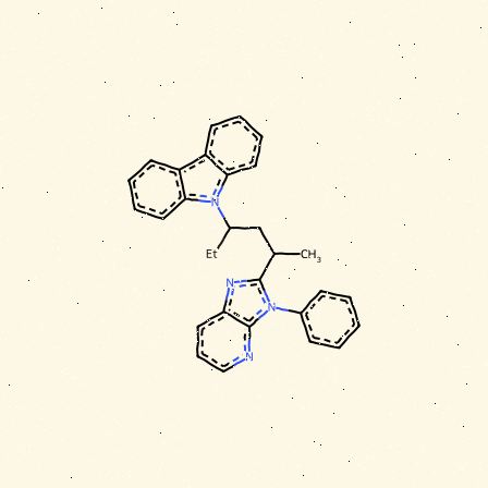 CCC(CC(C)c1nc2cccnc2n1-c1ccccc1)n1c2ccccc2c2ccccc21